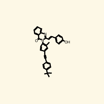 Cc1cc(C#Cc2ccc(C(C)(C)C)cc2)ccc1-n1c(C=Cc2ccc(O)cc2)nc2ccccc2c1=O